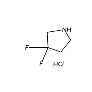 Cl.FC1(F)CCNC1